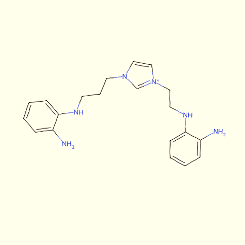 Nc1ccccc1NCCCn1cc[n+](CCNc2ccccc2N)c1